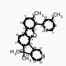 Cc1ccnc(-c2c(C)ccc3c2oc2c4c(ccc23)C(C)(C)c2ccncc2-4)c1